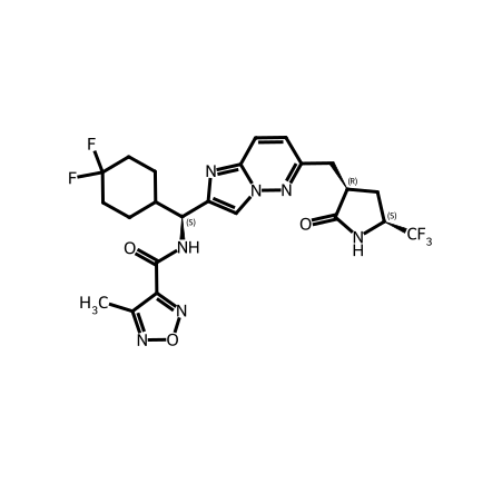 Cc1nonc1C(=O)N[C@H](c1cn2nc(C[C@H]3C[C@@H](C(F)(F)F)NC3=O)ccc2n1)C1CCC(F)(F)CC1